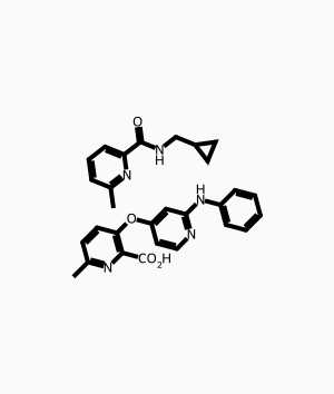 Cc1ccc(Oc2ccnc(Nc3ccccc3)c2)c(C(=O)O)n1.Cc1cccc(C(=O)NCC2CC2)n1